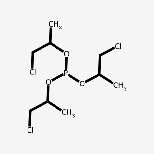 CC(CCl)OP(OC(C)CCl)OC(C)CCl